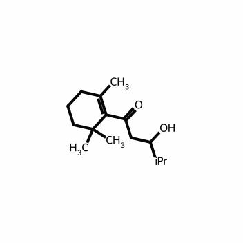 CC1=C(C(=O)CC(O)C(C)C)C(C)(C)CCC1